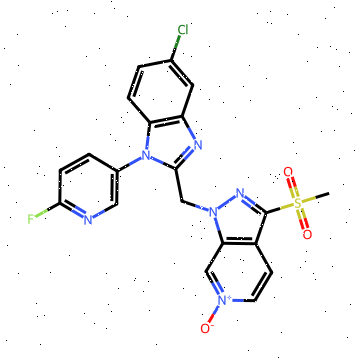 CS(=O)(=O)c1nn(Cc2nc3cc(Cl)ccc3n2-c2ccc(F)nc2)c2c[n+]([O-])ccc12